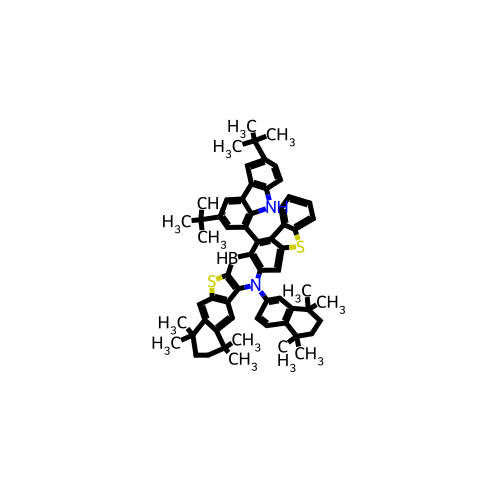 CC(C)(C)c1ccc2[nH]c3c(-c4c5c(cc6sc7ccccc7c46)N(c4ccc6c(c4)C(C)(C)CCC6(C)C)c4c(sc6cc7c(cc46)C(C)(C)CCC7(C)C)B5)cc(C(C)(C)C)cc3c2c1